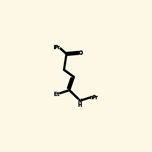 CCCNC(=CCC(=O)C(C)C)CC